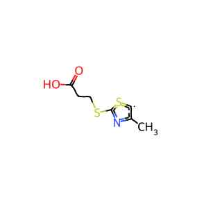 Cc1[c]sc(SCCC(=O)O)n1